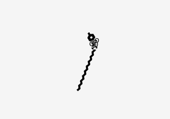 CCCCCCCCCCCCCCCCCCP(C)(C)(C)OS(=O)(=O)c1ccc(C)cc1